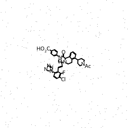 CC(=O)N1CCC(c2cccc3c2CCN(C(=O)/C=C/c2c(-n4cnnn4)ccc(Cl)c2F)C3C(=O)Nc2ccc(C(=O)O)cc2)CC1